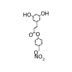 O=C(C=Cc1cc(O)cc(O)c1)Oc1ccc(CO[N+](=O)[O-])cc1